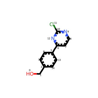 OCc1ccc(-c2ccnc(Cl)n2)cc1